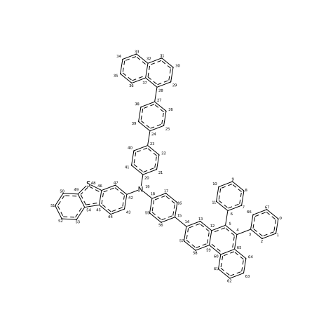 c1ccc(-c2c(-c3ccccc3)c3cc(-c4ccc(N(c5ccc(-c6ccc(-c7cccc8ccccc78)cc6)cc5)c5ccc6c(c5)sc5ccccc56)cc4)ccc3c3ccccc23)cc1